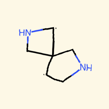 [CH]1CNCC12[CH]NC2